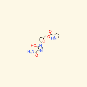 NC(=O)c1ncn(C2CCC(COC(=O)C3CCCN3)O2)c1O